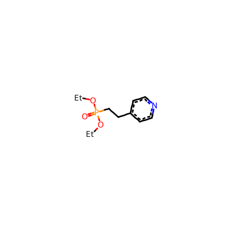 CCOP(=O)(CCc1ccncc1)OCC